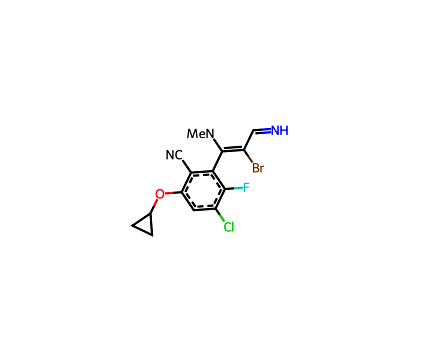 CN/C(=C(/Br)C=N)c1c(F)c(Cl)cc(OC2CC2)c1C#N